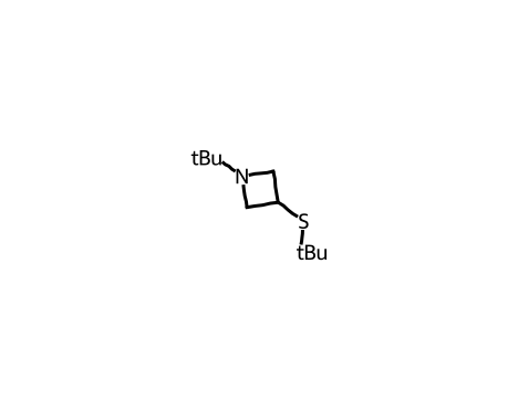 CC(C)(C)SC1CN(C(C)(C)C)C1